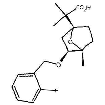 CC(C)(C(=O)O)[C@@]12CC[C@@](C)(O1)[C@@H](OCc1ccccc1F)C2